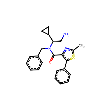 Cc1nc(C(=O)N(Cc2ccccc2)[C@H](CN)C2CC2)c(-c2ccccc2)s1